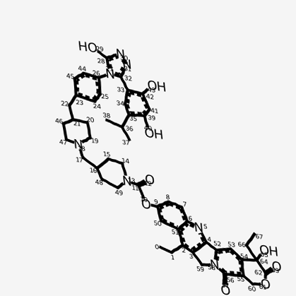 CCc1c2c(nc3ccc(OC(=O)N4CCC(CN5CCC(Cc6ccc(-n7c(O)nnc7-c7cc(C(C)C)c(O)cc7O)cc6)CC5)CC4)cc13)-c1cc3c(c(=O)n1C2)COC(=O)C3(O)CC